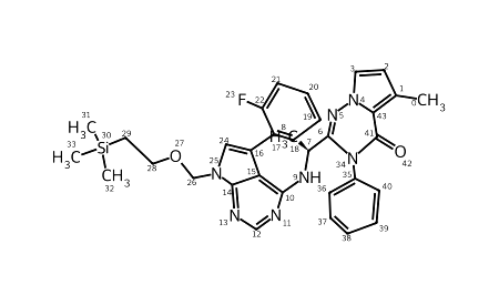 Cc1ccn2nc([C@H](C)Nc3ncnc4c3c(-c3ccccc3F)cn4COCC[Si](C)(C)C)n(-c3ccccc3)c(=O)c12